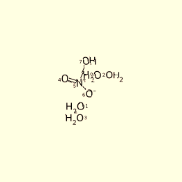 O.O.O.O.O=[N+]([O-])O